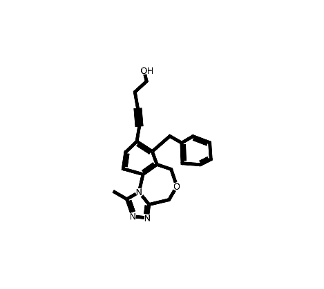 Cc1nnc2n1-c1ccc(C#CCCO)c(Cc3ccccc3)c1COC2